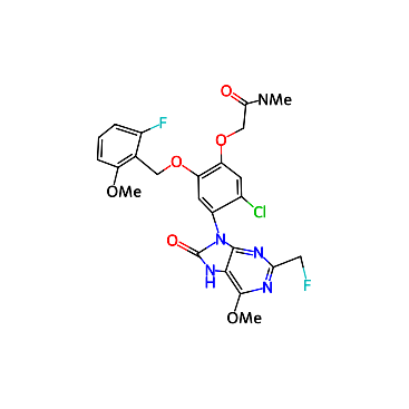 CNC(=O)COc1cc(Cl)c(-n2c(=O)[nH]c3c(OC)nc(CF)nc32)cc1OCc1c(F)cccc1OC